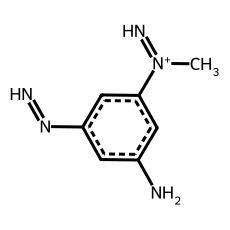 C[N+](=N)c1cc(N)cc(N=N)c1